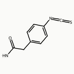 [NH]C(=O)Cc1ccc(N=C=S)cc1